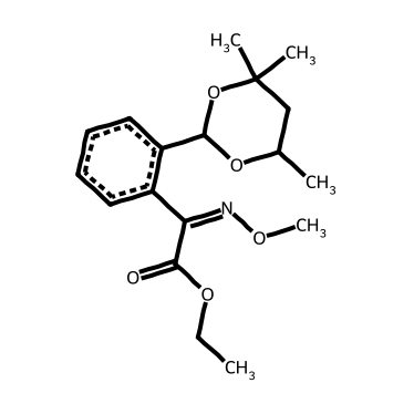 CCOC(=O)C(=NOC)c1ccccc1C1OC(C)CC(C)(C)O1